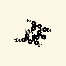 CC(C)(C)c1ccc2c(c1)c1cc(C(C)(C)C)ccc1n2-c1cccc(N(c2ccc(Br)cc2)c2ccc3c4c5cccc(N(c6ccc(Br)cc6)c6cccc(-n7c8ccc(C(C)(C)C)cc8c8cc(C(C)(C)C)ccc87)c6)c5ccc4n(-c4ccccc4)c3c2)c1